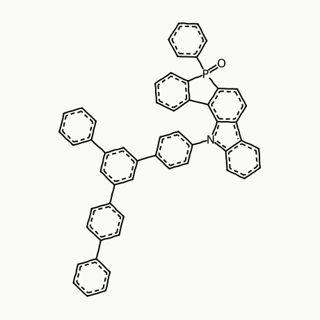 O=P1(c2ccccc2)c2ccccc2-c2c1ccc1c3ccccc3n(-c3ccc(-c4cc(-c5ccccc5)cc(-c5ccc(-c6ccccc6)cc5)c4)cc3)c21